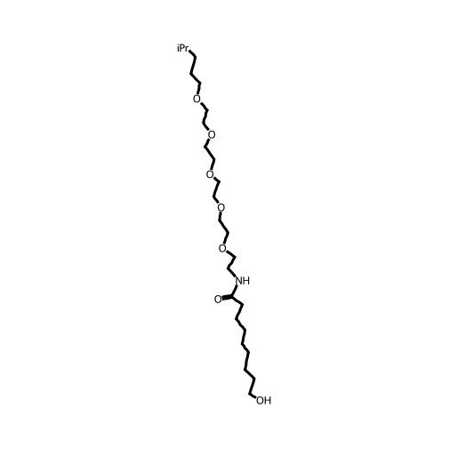 CC(C)CCCOCCOCCOCCOCCOCCNC(=O)CCCCCCCCO